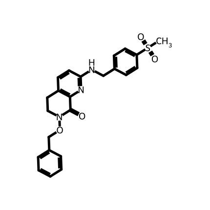 CS(=O)(=O)c1ccc(CNc2ccc3c(n2)C(=O)N(OCc2ccccc2)CC3)cc1